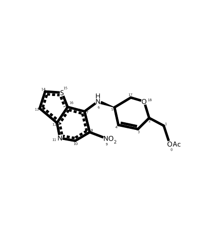 CC(=O)OCC1C=C[C@@H](Nc2c([N+](=O)[O-])cnc3ccsc23)CO1